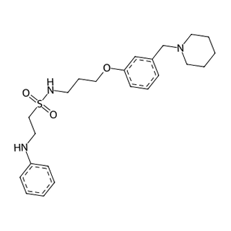 O=S(=O)(CCNc1ccccc1)NCCCOc1cccc(CN2CCCCC2)c1